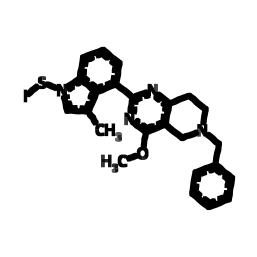 COc1nc(-c2cccc3c2c(C)cn3SI)nc2c1CN(Cc1ccccc1)CC2